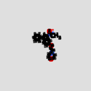 C/[N+]([O-])=C1/C=C(c2ccccc2)c2ccc(OCCN3CCOCC3)cc21